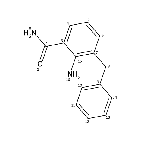 NC(=O)c1cccc(Cc2ccccc2)c1N